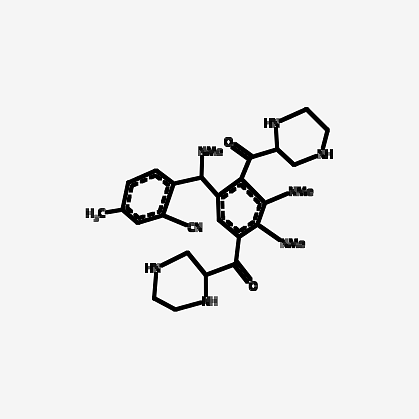 CNc1c(C(=O)C2CNCCN2)cc(C(NC)c2ccc(C)cc2C#N)c(C(=O)C2CNCCN2)c1NC